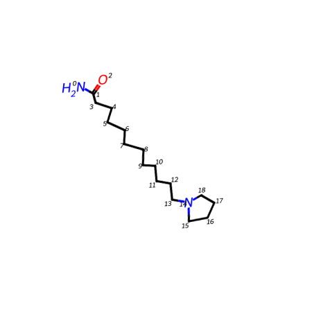 NC(=O)CCCCCCCCCCCN1CCCC1